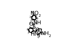 C[C@@H](NC(=O)c1ccccc1SC(=O)Nc1ccc([N+](=O)[O-])cc1)C(N)=O